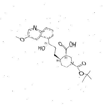 COc1cnc2cccc([C@@H](O)CC[C@@H]3CCN(C(=O)OC(C)(C)C)C[C@@H]3C(=O)O)c2c1